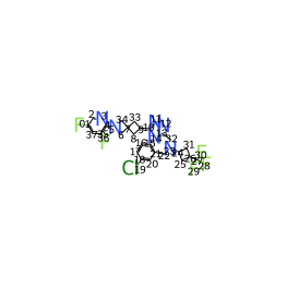 Fc1cnc(N2CC3(CC(c4nnc5n4-c4ccc(Cl)cc4CN(C4CC(C(F)(F)F)C4)C5)C3)C2)c(F)c1